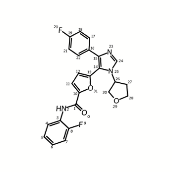 O=C(Nc1ccccc1F)c1ccc(-c2c(-c3ccc(F)cc3)ncn2C2CCOC2)o1